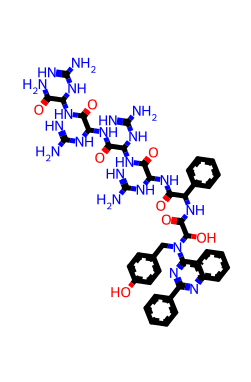 N=C(N)NC(NC(=O)C(NC(=N)N)NC(=O)C(NC(=N)N)NC(=O)C(NC(=N)N)NC(=O)C(NC(=O)C(O)N(Cc1ccc(O)cc1)c1nc(-c2ccccc2)nc2ccccc12)c1ccccc1)C(N)=O